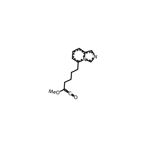 COC(=C=O)CCCCc1cccc2cncn12